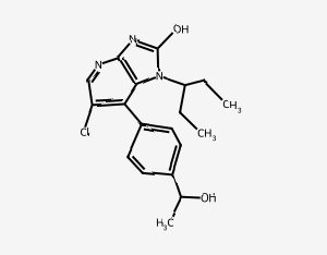 CCC(CC)n1c(O)nc2ncc(Cl)c(-c3ccc(C(C)O)cc3)c21